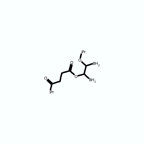 BC(OC(=O)CCC(=O)C(C)C)C(B)OC(C)C